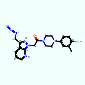 Cc1cc(N2CCN(C(=O)Cn3nc(CN=[N+]=[N-])c4cccnc43)CC2)ccc1Cl